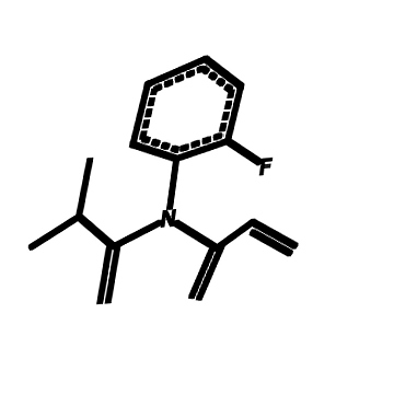 C=CC(=C)N(C(=C)C(C)C)c1ccccc1F